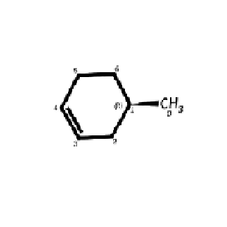 C[C@H]1CC=[C]CC1